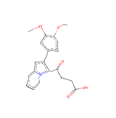 COc1ccc(-c2cc3ccccn3c2C(=O)CCC(=O)O)cc1OC